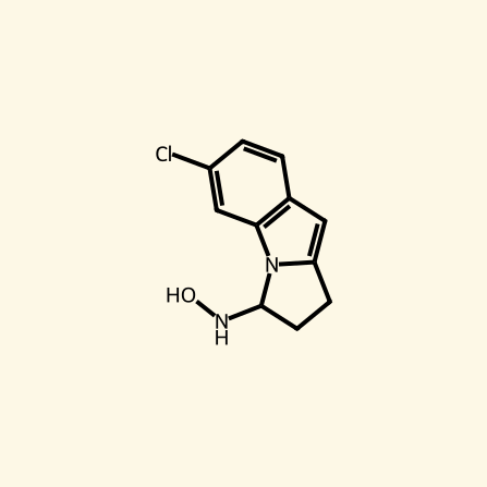 ONC1CCc2cc3ccc(Cl)cc3n21